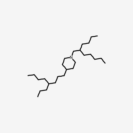 CCCCCC(CCCC)CN1CCC(CCCC(CCC)CCCC)CC1